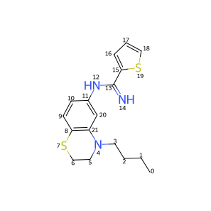 CCCCN1CCSc2ccc(NC(=N)c3cccs3)cc21